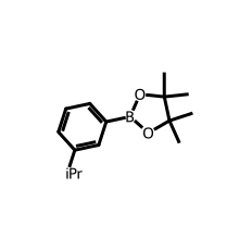 [CH2]C(C)c1cccc(B2OC(C)(C)C(C)(C)O2)c1